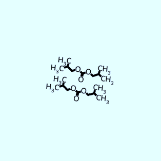 CC(C)COC(=O)OCC(C)C.CC(C)COC(=O)OCC(C)C